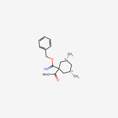 COC(=O)C1(C(=N)OCc2ccccc2)C[C@H](C)C[C@H](C)C1